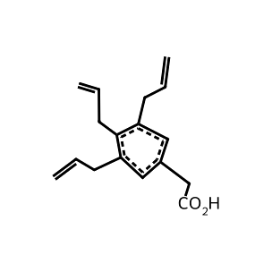 C=CCc1cc(CC(=O)O)cc(CC=C)c1CC=C